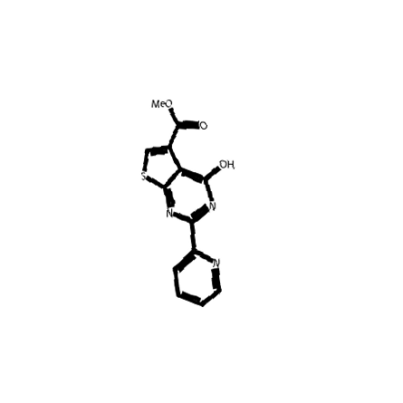 COC(=O)c1csc2nc(-c3ccccn3)nc(O)c12